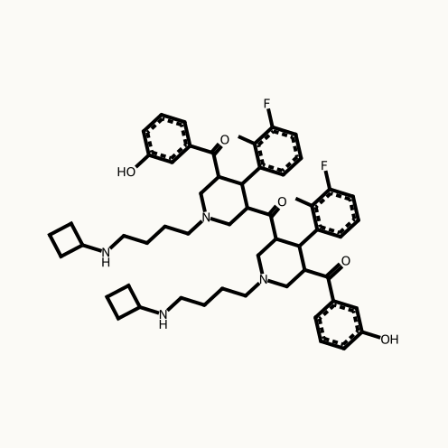 Cc1c(F)cccc1C1C(C(=O)c2cccc(O)c2)CN(CCCCNC2CCC2)CC1C(=O)C1CN(CCCCNC2CCC2)CC(C(=O)c2cccc(O)c2)C1c1cccc(F)c1C